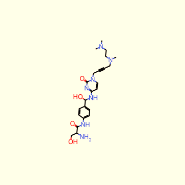 CN(C)CCN(C)CC#CCn1ccc(NC(O)c2ccc(NC(=O)C(N)CO)cc2)nc1=O